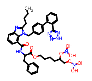 CCCCc1nc2cccc(C(=O)NC(Cc3ccccc3)C(=O)OCCCCC(CON(O)O)ON(O)O)c2n1Cc1ccc(-c2ccccc2-c2nn[nH]n2)cc1